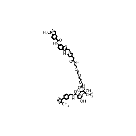 Cc1ncsc1-c1ccc(CNC(=O)[C@@H]2C[C@@H](O)CN2C(=O)[C@@H](NC(=O)COCCOCCOCCNC(=O)CC2CCN(Cc3nc4cc(NC(=O)c5ccc6c(cnn6C)c5)ccc4[nH]3)C2)C(C)(C)C)cc1